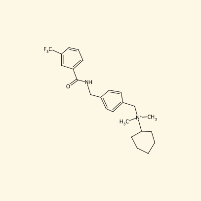 C[N+](C)(Cc1ccc(CNC(=O)c2cccc(C(F)(F)F)c2)cc1)C1CCCCC1